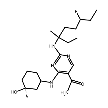 CCC(F)CCC(C)(CC)Nc1ncc(C(N)=O)c(NC2CCC[C@](C)(O)C2)n1